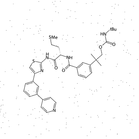 CSCC[C@H](NC(=O)c1cccc(C(C)(C)COC(=O)NC(C)(C)C)c1)C(=O)Nc1nc(-c2cccc(-c3ccncc3)c2)cs1